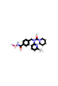 O=C(NOI)c1ccc(CN(C(=O)N2CCCCC2)c2cccc(C(F)(F)F)n2)cc1